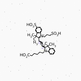 CC1(C)C(/C=C/C=C2/N(CCCCCC(=O)O)c3ccccc3C2(C)C)=[N+](CCCS(=O)(=O)O)c2ccc(S(=O)(=O)O)cc21